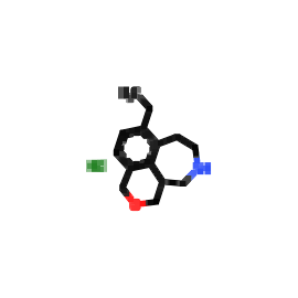 CCc1ccc2c3c1CCNCC3COC2.Cl